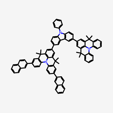 CC1(C)c2ccccc2N2c3ccccc3C(C)(C)c3cc(-c4ccc5c(c4)c4cc(-c6cc7c8c(c6)C(C)(C)c6cc(-c9ccc%10ccccc%10c9)ccc6N8c6ccc(-c8ccc9ccccc9c8)cc6C7(C)C)ccc4n5-c4ccccc4)cc1c32